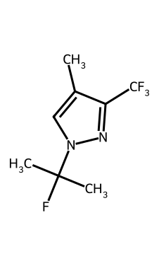 Cc1cn(C(C)(C)F)nc1C(F)(F)F